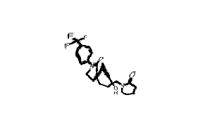 O=C1CCCCN1CC1(O)CCC2(CCN(c3ccc(C(F)(F)F)cc3)C2=O)CC1